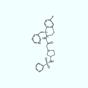 O=C(CN1CCC(NS(=O)(=O)c2ccccc2)C1)N[C@@H]1CCc2cc(F)ccc2[C@@H]1Cc1cccnc1